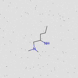 CCCC([NH])CN(C)C